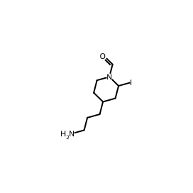 NCCCC1CCN(C=O)C(I)C1